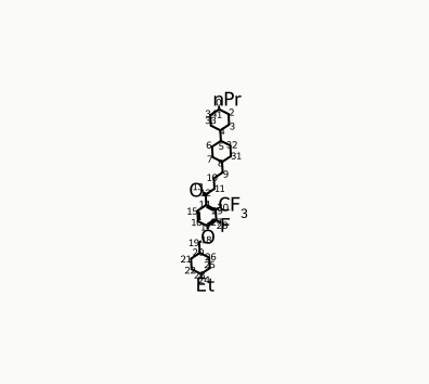 CCCC1CCC(C2CCC(CCCC(=O)c3ccc(OCC4CCC(CC)CC4)c(F)c3C(F)(F)F)CC2)CC1